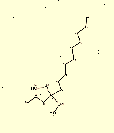 CCCCCCCCCCC(CCC)(OO)OO